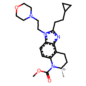 COC(=O)N1c2ccc3c(nc(CCC4CC4)n3CCN3CCOCC3)c2CC[C@@H]1C